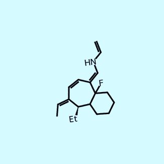 C=CN/C=C1C=C/C(=C/C)[C@H](CC)C2CCCCC\12F